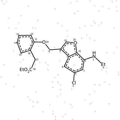 CCNc1cc(Cl)cc2c(COc3ccccc3CC(=O)OCC)coc12